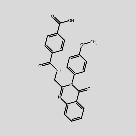 COc1ccc(-n2c(CNC(=O)c3ccc(C(=O)O)cc3)nc3ccccc3c2=O)cc1